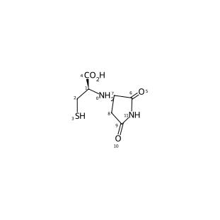 N[C@@H](CS)C(=O)O.O=C1CCC(=O)N1